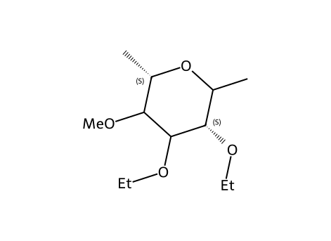 CCOC1C(OC)[C@H](C)OC(C)[C@@H]1OCC